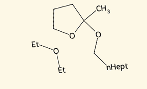 CCCCCCCCOC1(C)CCCO1.CCOCC